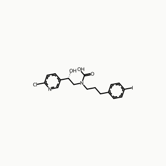 O=C(O)N(CCCc1ccc(I)cc1)C[C@@H](O)c1ccc(Cl)nc1